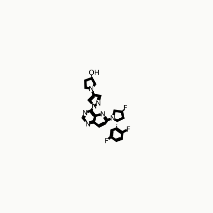 O[C@H]1CCN(c2cnn(-c3ncnc4ccc(N5C[C@@H](F)C[C@@H]5c5cc(F)ccc5F)nc34)c2)C1